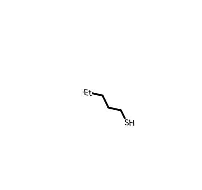 C[CH]CCCS